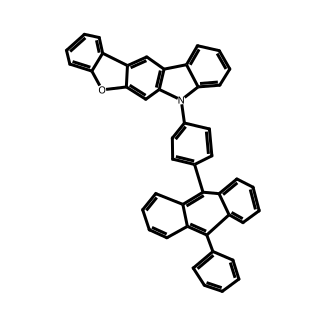 c1ccc(-c2c3ccccc3c(-c3ccc(-n4c5ccccc5c5cc6c(cc54)oc4ccccc46)cc3)c3ccccc23)cc1